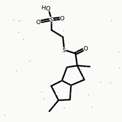 CC1CC2CC(C)(C(=O)SCCS(=O)(=O)O)CC2C1